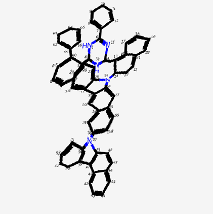 C1=CCC(C2NC(C3=CCCC=C3)=NC(C3=c4ccccc4=CCC3n3c4ccccc4c4cc5cc(-n6c7c(c8c9ccccc9ccc86)CCC=C7)ccc5cc43)N2)C(C2=CCCC=C2)=C1